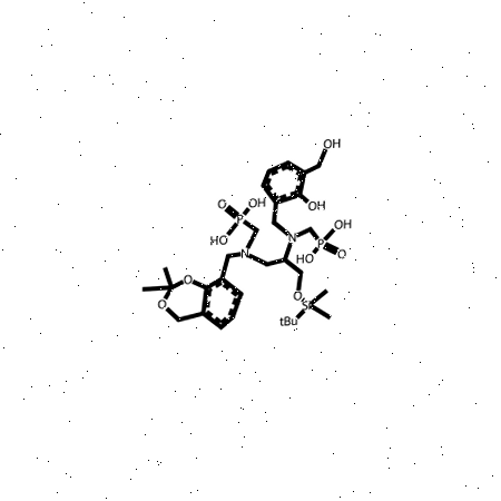 CC1(C)OCc2cccc(CN(CC(CO[Si](C)(C)C(C)(C)C)N(Cc3cccc(CO)c3O)CP(=O)(O)O)CP(=O)(O)O)c2O1